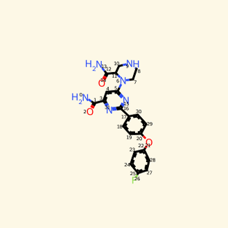 NC(=O)c1cc(N2CCNCC2C(N)=O)nc(-c2ccc(Oc3ccc(F)cc3)cc2)n1